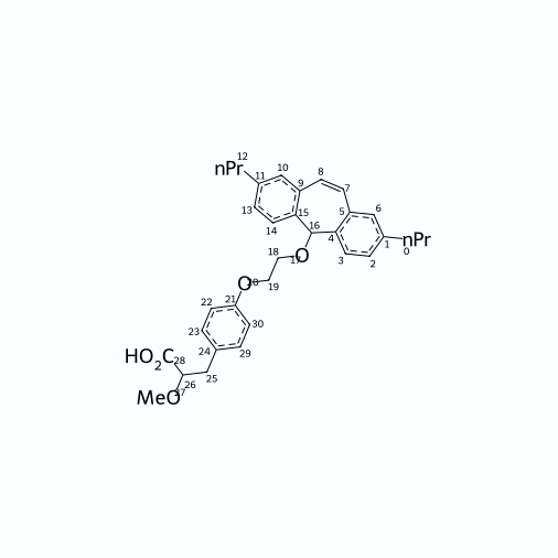 CCCc1ccc2c(c1)C=Cc1cc(CCC)ccc1C2OCCOc1ccc(CC(OC)C(=O)O)cc1